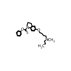 C=CCN(C)CCCCOc1ccc2c(c1)CCCN2C(=S)Oc1ccccc1